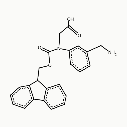 NCc1cccc(N(CC(=O)O)C(=O)OCC2c3ccccc3-c3ccccc32)c1